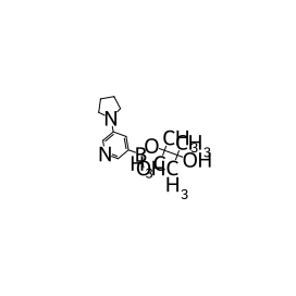 CC(C)(O)C(C)(C)OB(O)c1cncc(N2CCCC2)c1